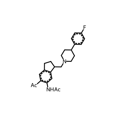 CC(=O)Nc1cc2c(cc1C(C)=O)CCC2CN1CCC(c2ccc(F)cc2)CC1